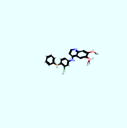 CCOc1cc2nccc(Nc3ccc(Sc4ccccc4)c(Cl)c3)c2cc1OCC